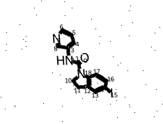 O=C(Nc1cccnc1)N1CCc2cc(I)ccc21